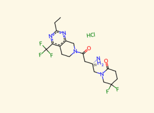 CCc1nc2c(c(C(F)(F)F)n1)CCN(C(=O)C[C@H](N)CN1CC(F)(F)CCC1=O)C2.Cl